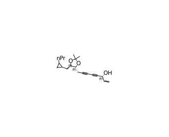 C=C[C@@H](O)C#CC#CC[C@H]1OC(C)(C)O[C@@H]1CC1CC1CCC